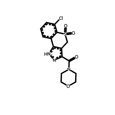 O=C(c1n[nH]c2c1CS(=O)(=O)c1c(Cl)cccc1-2)N1CCOCC1